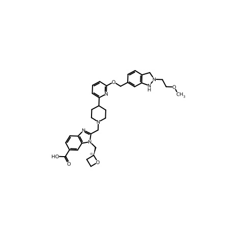 COCCN1Cc2ccc(COc3cccc(C4CCN(Cc5nc6ccc(C(=O)O)cc6n5C[C@@H]5CCO5)CC4)n3)cc2N1